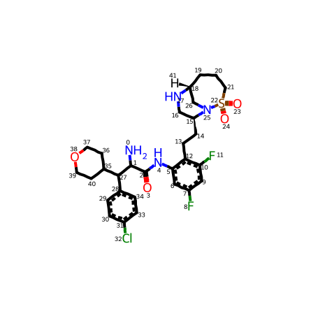 NC(C(=O)Nc1cc(F)cc(F)c1CC[C@H]1CN[C@@H]2CCCS(=O)(=O)N1C2)C(c1ccc(Cl)cc1)C1CCOCC1